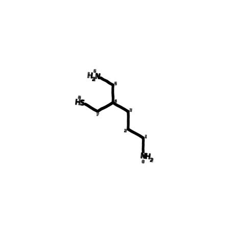 NCCCC(CN)CS